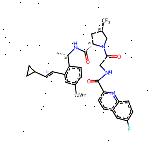 COc1ccc([C@H](C)NC(=O)[C@@H]2C[C@@H](C(F)(F)F)CN2C(=O)CNC(=O)c2ccc3cc(F)ccc3n2)c(/C=C/C2CC2)c1